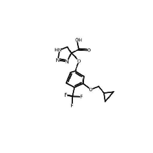 O=C(O)C1(Oc2ccc(C(F)(F)F)c(OCC3CC3)c2)CNN=N1